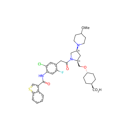 COC1CCN([C@H]2C[C@@H](CO[C@H]3CC[C@H](C(=O)O)CC3)N(C(=O)Cc3cc(Cl)c(NC(=O)c4csc5ccccc45)cc3F)C2)CC1